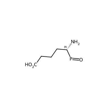 N[C@@H](CCCC(=O)O)P=O